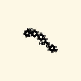 N#CC1(c2ccccn2)CCC(N2CCN(CC(O)COc3ccc(F)cc3)CC2)CC1